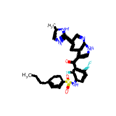 CCCc1ccc(S(=O)(=O)Nc2ccc(F)c(C(=O)c3c[nH]c4ncc(-c5ncc(C)[nH]5)cc34)c2F)cc1